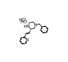 C(=C[C@@H]1CN(Cc2ccccc2)CCN1)c1ccccn1.Cl.Cl